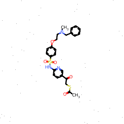 CC(=O)SCC(=O)c1ccc(NS(=O)(=O)c2ccc(OCCN(C)Cc3ccccc3)cc2)nc1